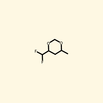 CC1CC(C(F)F)OCO1